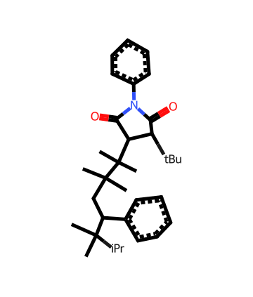 CC(C)C(C)(C)C(CC(C)(C)C(C)(C)C1C(=O)N(c2ccccc2)C(=O)C1C(C)(C)C)c1ccccc1